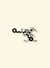 Cc1cc(O)cc(C)c1CC(NC(=O)OC(C)(C)C)C(=O)N[C@H](C)C(=O)NCCCC1CCCCC1